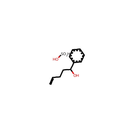 C=CCCC(O)c1ccccc1.O=S(=O)(O)O